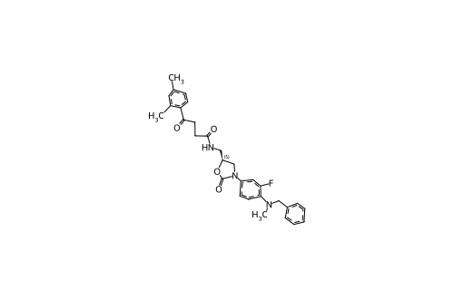 Cc1ccc(C(=O)CCC(=O)NC[C@H]2CN(c3ccc(N(C)Cc4ccccc4)c(F)c3)C(=O)O2)c(C)c1